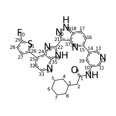 O=C(CC1CCCCC1)Nc1cncc(-c2ccc3[nH]nc(-c4nc5c(-c6ccc(F)s6)ccnc5[nH]4)c3n2)c1